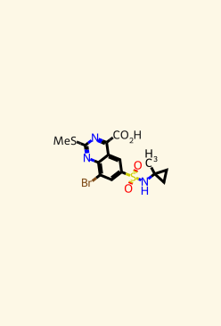 CSc1nc(C(=O)O)c2cc(S(=O)(=O)NC3(C)CC3)cc(Br)c2n1